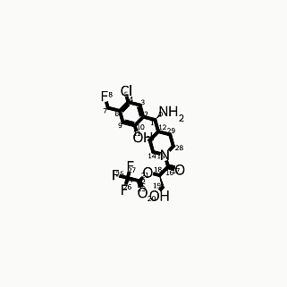 N[C@@H](c1cc(Cl)c(CF)cc1O)C1CCN(C(=O)[C@@H](CO)OC(=O)C(F)(F)F)CC1